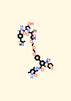 CCN(c1cc(-c2ccc(OCCOCCOc3cc(C(C(=O)N4C[C@H](O)C[C@H]4C(=O)N[C@@H](C)c4ccc(-c5scnc5C)cc4)C(C)C)on3)cc2)cc(C(=O)NCc2c(C)cc(C)[nH]c2=O)c1C)C1CCOCC1